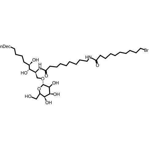 CCCCCCCCCCCCCC[C@@H](O)[C@@H](O)[C@H](CO[C@H]1OC(CO)[C@H](O)[C@H](O)C1O)NC(=O)CCCCCCCCNC(=O)CCCCCCCCCBr